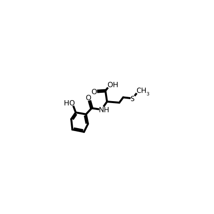 CSCCC(NC(=O)c1ccccc1O)C(=O)O